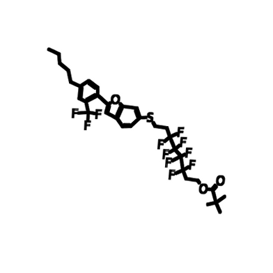 CCCCCc1ccc(-c2cc3ccc(SCCC(F)(F)C(F)(F)C(F)(F)C(F)(F)CCOC(=O)C(C)(C)C)cc3o2)c(C(F)(F)F)c1